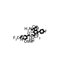 COc1cc(C(=O)NCC(O)(c2cc3c(c(-c4ccc(F)cc4)n2)OC[C@]3(C)C(N)=O)C(F)(F)F)cn2cc(C(F)(F)F)nc12